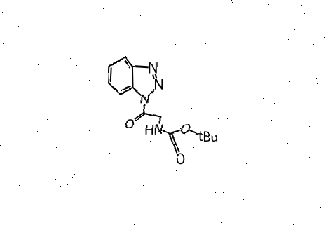 CC(C)(C)OC(=O)NCC(=O)n1nnc2ccccc21